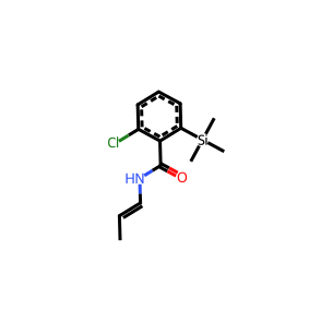 C/C=C/NC(=O)c1c(Cl)cccc1[Si](C)(C)C